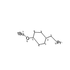 C[C](C)CC1CCC(OC(C)(C)C)CC1